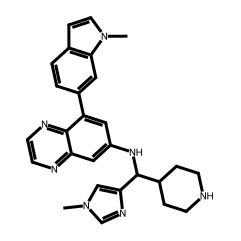 Cn1cnc(C(Nc2cc(-c3ccc4ccn(C)c4c3)c3nccnc3c2)C2CCNCC2)c1